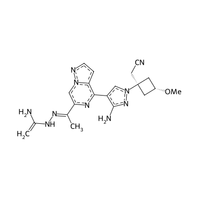 C=C(N)N/N=C(\C)c1cn2nccc2c(-c2cn([C@]3(CC#N)C[C@@H](OC)C3)nc2N)n1